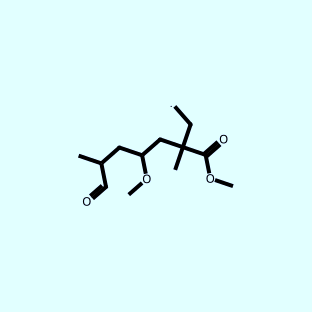 [CH2]CC(C)(CC(CC(C)C=O)OC)C(=O)OC